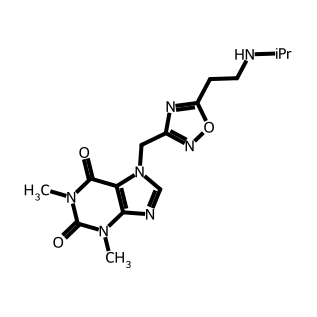 CC(C)NCCc1nc(Cn2cnc3c2c(=O)n(C)c(=O)n3C)no1